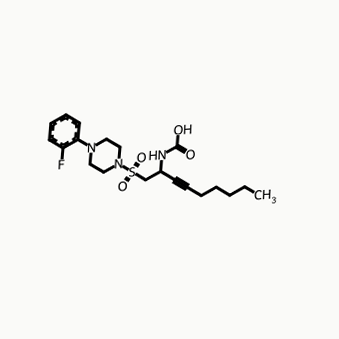 CCCCCC#CC(CS(=O)(=O)N1CCN(c2ccccc2F)CC1)NC(=O)O